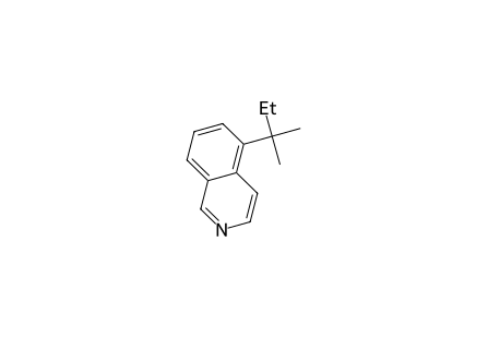 CCC(C)(C)c1cccc2cnccc12